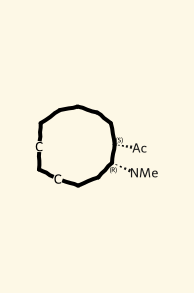 CN[C@@H]1CCCCCCCCCC[C@@H]1C(C)=O